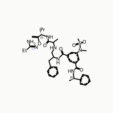 C=C(O/N=C(\N)CC)[C@@H](NC(=O)C(C)NCC(Cc1ccccc1)NC(=O)c1cc(C(=O)N[C@H](C)c2ccccc2)cc(N(C)S(C)(=O)=O)c1)C(C)C